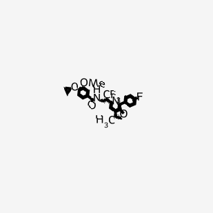 COc1cc(C(=O)NC[C@H](c2cc3c(c(-c4ccc(F)cc4)n2)OC[C@H]3C)C(F)(F)F)ccc1OC1CC1